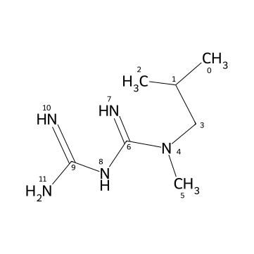 CC(C)CN(C)C(=N)NC(=N)N